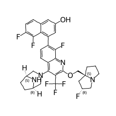 Oc1cc(-c2ccc3c(N4C[C@H]5CC[C@@H](C4)N5)c(C(F)(F)F)c(OC[C@@]45CCCN4C[C@H](F)C5)nc3c2F)c2c(F)c(F)ccc2c1